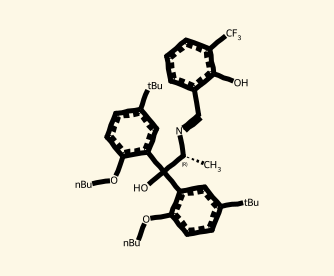 CCCCOc1ccc(C(C)(C)C)cc1C(O)(c1cc(C(C)(C)C)ccc1OCCCC)[C@@H](C)N=Cc1cccc(C(F)(F)F)c1O